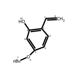 C=Cc1ccc(OCCCC)cc1O